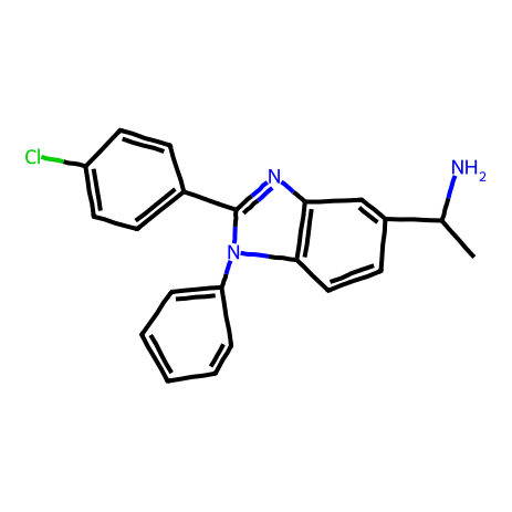 CC(N)c1ccc2c(c1)nc(-c1ccc(Cl)cc1)n2-c1ccccc1